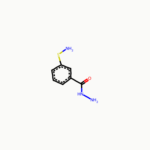 NNC(=O)c1cccc(SN)c1